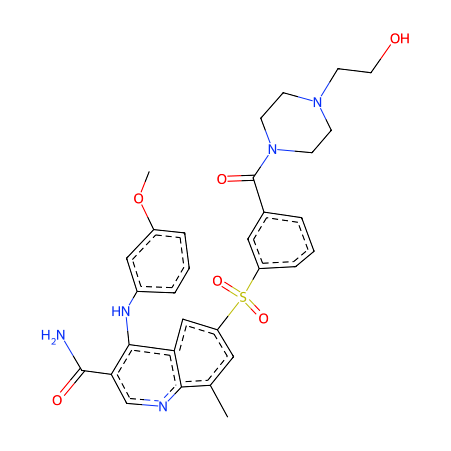 COc1cccc(Nc2c(C(N)=O)cnc3c(C)cc(S(=O)(=O)c4cccc(C(=O)N5CCN(CCO)CC5)c4)cc23)c1